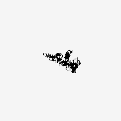 COc1cc(OC)c(Cl)c(-c2nc(N3CC(C)(OC)C3)c3cc(N[C@@H]4COCC[C@H]4C=CC(=O)NC=O)ncc3n2)c1Cl